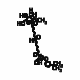 CC(=O)NC1C(OCCCCCC(=O)NCCCCCC(=O)N2C[C@H](OC3CCCC(C(C)C)C3)CC2CO)OC(CO)C(O)C1O